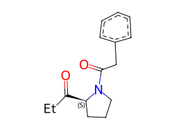 CCC(=O)[C@@H]1CCCN1C(=O)Cc1ccccc1